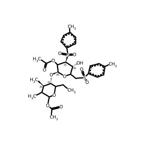 CCC1OC(OC(C)=O)C(C)[C@@H](C)[C@@H]1O[C@@H]1OC(CS(=O)(=O)c2ccc(C)cc2)[C@@H](O)[C@H](S(=O)(=O)c2ccc(C)cc2)C1OC(C)=O